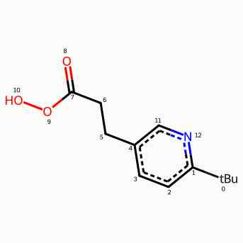 CC(C)(C)c1ccc(CCC(=O)OO)cn1